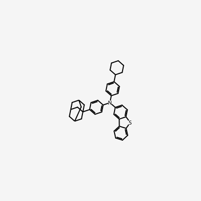 c1ccc2c(c1)sc1ccc(N(c3ccc(C4CCCCC4)cc3)c3ccc(C45CC6CC(CC(C6)C4)C5)cc3)cc12